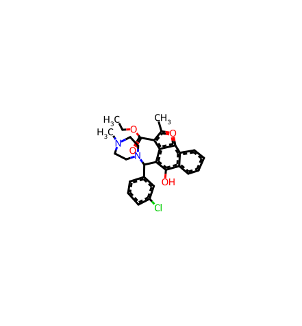 CCOC(=O)c1c(C)oc2c1c(C(c1cccc(Cl)c1)N1CCN(C)CC1)c(O)c1ccccc12